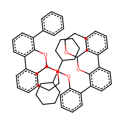 c1ccc(-c2cccc(-c3ccccc3O[Si](Oc3ccccc3-c3cccc(-c4ccccc4)c3OC3CCCCO3)(C3CCCCC3)C3CCCCC3)c2OC2CCCCO2)cc1